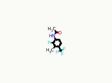 CC(=O)Nc1ccc(C(F)(F)F)c(C)c1F